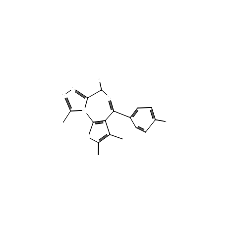 CC(=O)C1N=C(c2ccc(Cl)cc2)c2c(sc(C)c2C)-n2c(C)nnc21